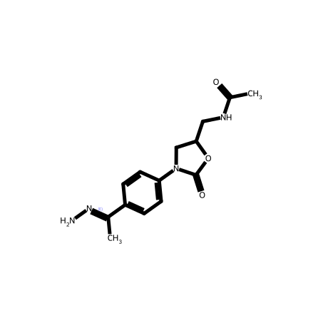 CC(=O)NCC1CN(c2ccc(/C(C)=N/N)cc2)C(=O)O1